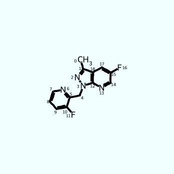 Cc1nn(Cc2ncccc2F)c2ncc(F)cc12